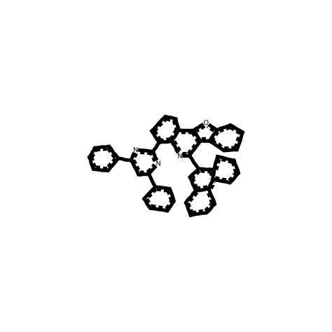 c1ccc(-c2cc(-c3ccccc3)nc(-c3cccc4c3nc(-c3cc5ccccc5c5ccccc35)c3c5ccccc5oc43)n2)cc1